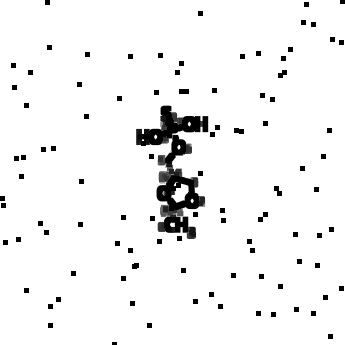 C[C@H]1OC[C@@H](COP(O)(O)=S)O1